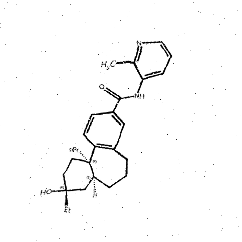 CCC[C@@]12CC[C@](O)(CC)C[C@@H]1CCCc1cc(C(=O)Nc3cccnc3C)ccc12